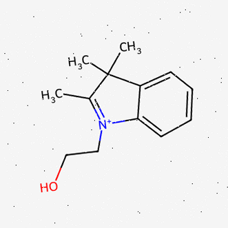 CC1=[N+](CCO)c2ccccc2C1(C)C